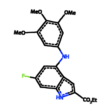 CCOC(=O)c1cc2c(Nc3cc(OC)c(OC)c(OC)c3)cc(F)cc2[nH]1